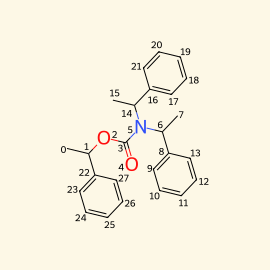 CC(OC(=O)N(C(C)c1ccccc1)C(C)c1ccccc1)c1ccccc1